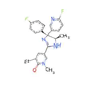 CCc1cc(C2=N[C@](c3ccc(F)cc3)(c3ccc(F)nc3)[C@@H](C)N2)cn(C)c1=O